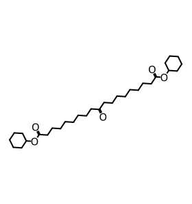 O=C(CCCCCCCCC(=O)OC1CCCCC1)CCCCCCCCC(=O)OC1CCCCC1